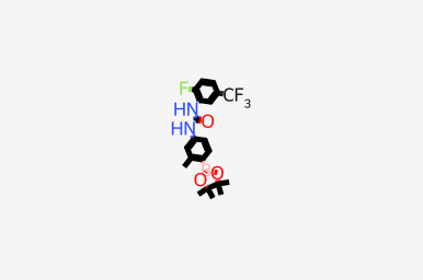 Cc1cc(NC(=O)Nc2cc(C(F)(F)F)ccc2F)ccc1B1OC(C)(C)C(C)(C)O1